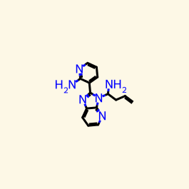 C=CCC(N)n1c(-c2cccnc2N)nc2cccnc21